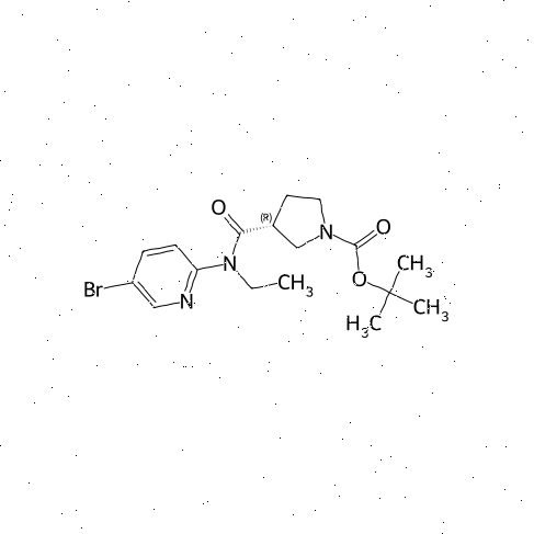 CCN(C(=O)[C@@H]1CCN(C(=O)OC(C)(C)C)C1)c1ccc(Br)cn1